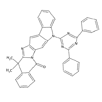 CC1(C)c2ccccc2C(=O)n2c1nc1cc3c4ccccc4n(-c4nc(-c5ccccc5)nc(-c5ccccc5)n4)c3cc12